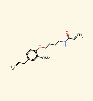 C=CCc1ccc(OCCCCNC(=O)C=C)c(OC)c1